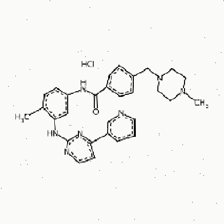 Cc1ccc(NC(=O)c2ccc(CN3CCN(C)CC3)cc2)cc1Nc1nccc(-c2cccnc2)n1.Cl